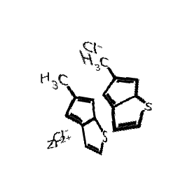 CC1=CC2SC=CC2=C1.CC1=CC2SC=CC2=C1.[Cl-].[Cl-].[Zr+2]